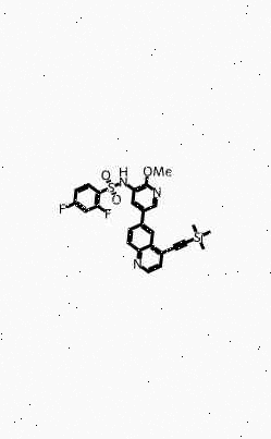 COc1ncc(-c2ccc3nccc(C#C[Si](C)(C)C)c3c2)cc1NS(=O)(=O)c1ccc(F)cc1F